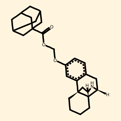 O=C(OCOc1ccc2c(c1)[C@@]13CCCC[C@H]1[C@@H](C2)NCC3)C12CC3CC(CC(C3)C1)C2